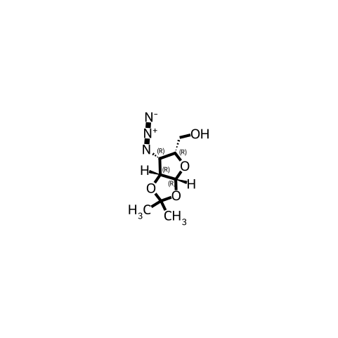 CC1(C)O[C@H]2O[C@@H](CO)[C@@H](N=[N+]=[N-])[C@H]2O1